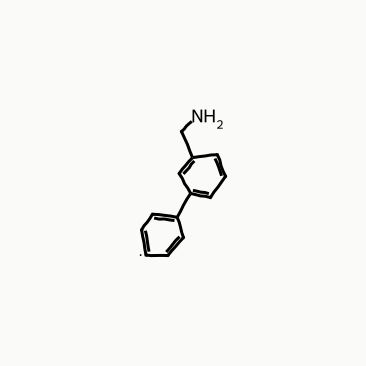 NCc1cccc(-c2cc[c]cc2)c1